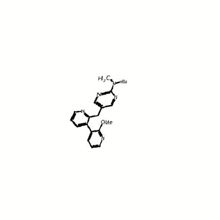 CCCCN(C)c1ncc(Cc2ncccc2-c2cccnc2OC)cn1